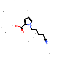 N#CCCCCn1cccc1C(=O)O